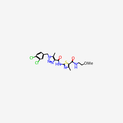 COCCNC(=O)c1sc(NC(=O)c2nnn(Cc3ccc(Cl)c(Cl)c3)c2C)nc1C